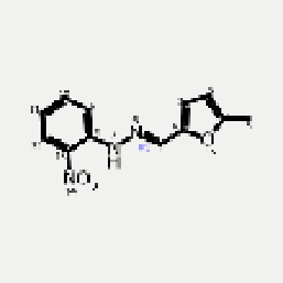 Cc1ccc(/C=N/Nc2ccccc2[N+](=O)[O-])o1